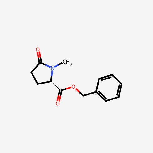 CN1C(=O)CC[C@H]1C(=O)OCc1ccccc1